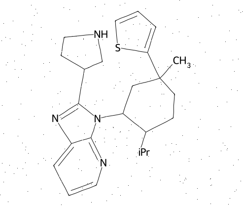 CC(C)C1CCC(C)(c2cccs2)CC1n1c(C2CCNC2)nc2cccnc21